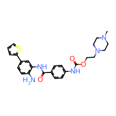 CN1CCN(CCOC(=O)Nc2ccc(C(=O)Nc3cc(-c4cccs4)ccc3N)cc2)CC1